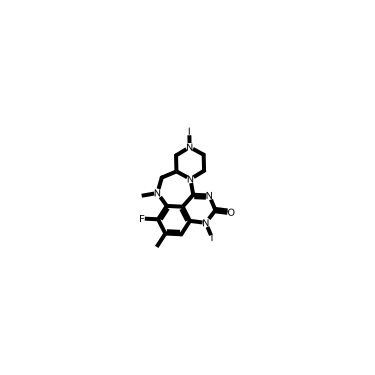 Cc1cc2c3c(nc(=O)n2I)N2CCN(I)CC2CN(C)c3c1F